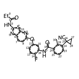 CCC(=O)Nc1nc2ccc(Oc3ccc(F)c(NC(=O)c4cccc(C5(C#N)CC5)c4C)c3)nc2s1